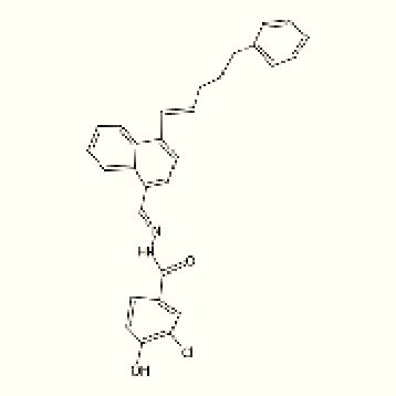 O=C(N/N=C/c1ccc(/C=C/CCCc2ccccc2)c2ccccc12)c1ccc(O)c(Cl)c1